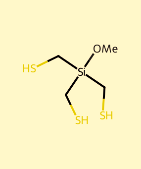 CO[Si](CS)(CS)CS